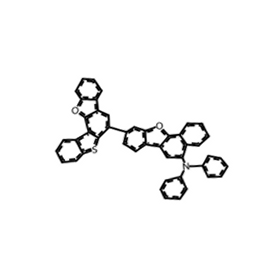 c1ccc(N(c2ccccc2)c2cc3c4ccc(-c5cc6c7ccccc7oc6c6c5sc5ccccc56)cc4oc3c3ccccc23)cc1